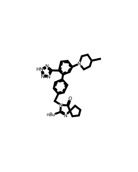 CCCCC1=NC2(CCCC2)C(=O)N1Cc1ccc(-c2cc(N3CCC(C)CC3)ccc2-c2nn[nH]n2)cc1